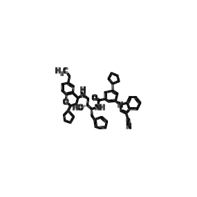 CCc1ccc2c(c1)C(NC[C@@H](O)[C@H](Cc1ccccc1)NC(=O)c1cc(C3CCCC3)cc(-n3cc(C#N)c4ccccc43)c1)CC(C1CCCC1)O2